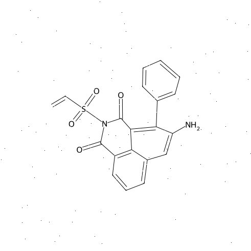 C=CS(=O)(=O)N1C(=O)c2cccc3cc(N)c(-c4ccccc4)c(c23)C1=O